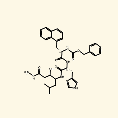 CC(C)CC(NC(=O)[C@@H](Cc1c[nH]cn1)NC(=O)[C@H](Cc1cccc2ccccc12)NC(=O)OCc1ccccc1)C(O)CC(=O)NN